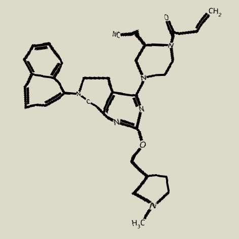 C=CC(=O)N1CCN(c2nc(OCC3CCN(C)C3)nc3c2CCN(c2cccc4ccccc24)C3)CC1CC#N